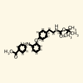 CC(=O)c1ccc(Nc2ccccc2Oc2ccc(CCNC(=O)OC(C)(C)C)cc2)cc1